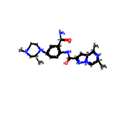 CCN1CCN(c2ccc(NC(=O)c3cc4c(C)nc(C)cn4n3)c(C(N)=O)c2)[C@H](C)C1